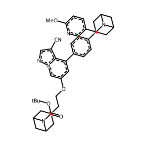 COc1ccc(CN2C3CC2CN(c2ccc(-c4cc(OCCN5CC6CC(C5)N6C(=O)OC(C)(C)C)cn5ncc(C#N)c45)cc2)C3)cn1